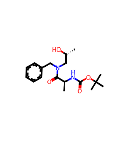 C[C@H](NC(=O)OC(C)(C)C)C(=O)N(Cc1ccccc1)C[C@@H](C)O